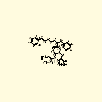 CC(C)C[C@@H](C=O)NC(=O)[C@H](Cc1c[nH]cn1)NC(=O)C(CCCCCc1ccccc1)Cc1ccccc1